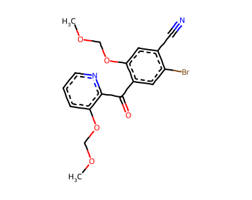 COCOc1cc(C#N)c(Br)cc1C(=O)c1ncccc1OCOC